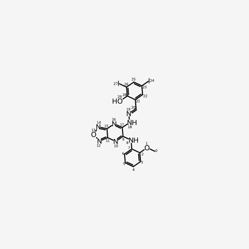 COc1ccccc1Nc1nc2nonc2nc1N/N=C/c1cc(I)cc(I)c1O